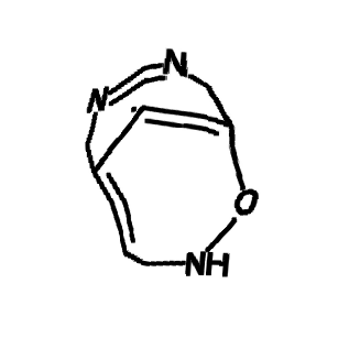 [C]1=C2N=NC1=CNO2